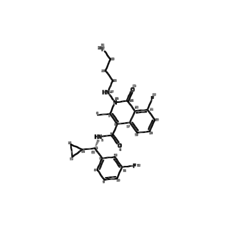 Cc1c(C(=O)N[C@H](c2cccc(F)c2)C2CC2)c2cccc(F)c2c(=O)n1NCCC[18F]